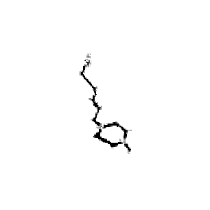 CN1CCN(CCCCCS)CC1